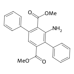 COC(=O)c1cc(-c2ccccc2)c(C(=O)OC)c(N)c1-c1ccccc1